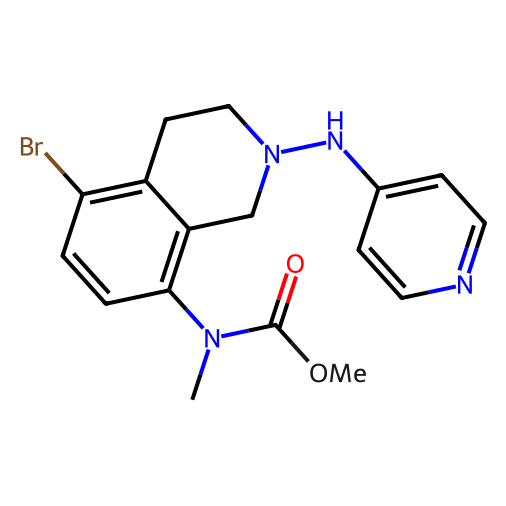 COC(=O)N(C)c1ccc(Br)c2c1CN(Nc1ccncc1)CC2